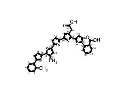 Cc1ccccc1-c1ccc(-c2sc(-c3ccc(-c4cc(CC(=O)O)c(-c5ccc(-c6ccccc6C(=O)O)s5)s4)s3)cc2C)s1